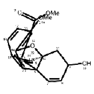 COC(=O)N1CCC23C=CC(O)C[C@@H]2Oc2c(OC)ccc(c23)C1